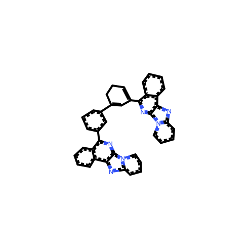 C1=C(c2cccc(-c3nc4c(nc5ccccn54)c4ccccc34)c2)CCC=C1c1nc2c(nc3ccccn32)c2ccccc12